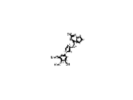 COc1cc(-n2cnc(Nc3nc(Cl)nn4cccc34)c2)cc(C#N)c1OC